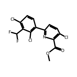 COC(=O)c1nc(-c2ccc(Cl)c(C(F)F)c2Cl)ccc1Cl